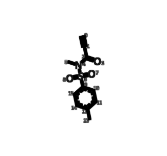 C#CC(=O)N(C)S(=O)(=O)c1ccc(C)cc1